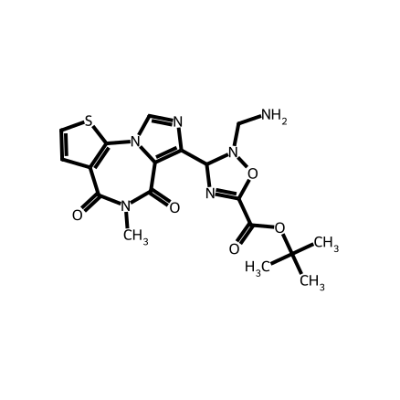 Cn1c(=O)c2ccsc2n2cnc(C3N=C(C(=O)OC(C)(C)C)ON3CN)c2c1=O